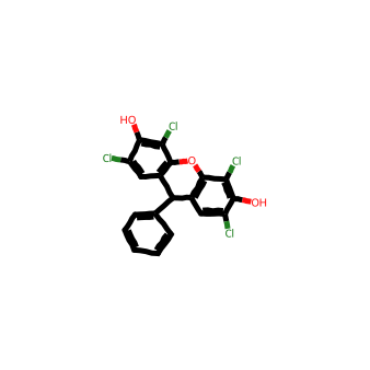 Oc1c(Cl)cc2c(c1Cl)Oc1c(cc(Cl)c(O)c1Cl)C2c1ccccc1